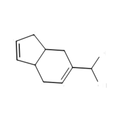 CC(O)C1=CCC2C=CCC2C1